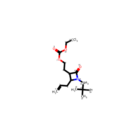 C=CCC1C(CCOC(=O)OCC(Cl)(Cl)Cl)C(=O)N1[SiH2]C(C)(C)C(C)C